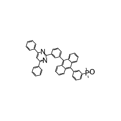 CP(C)(=O)c1cccc(-c2c3ccccc3c(-c3cccc(-c4nc(-c5ccccc5)cc(-c5ccccc5)n4)c3)c3ccccc23)c1